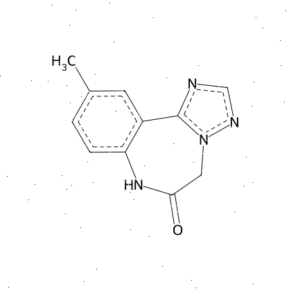 Cc1ccc2c(c1)-c1ncnn1CC(=O)N2